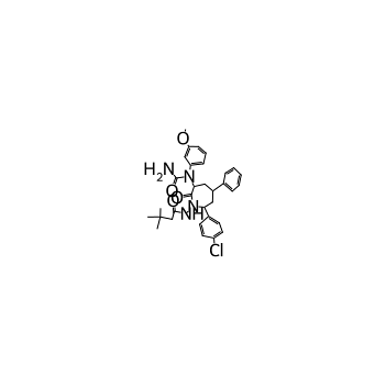 COc1cccc(N(C(N)=O)C2CC(c3ccccc3)CC(c3ccc(Cl)cc3)N(NC(=O)CC(C)(C)C)C2=O)c1